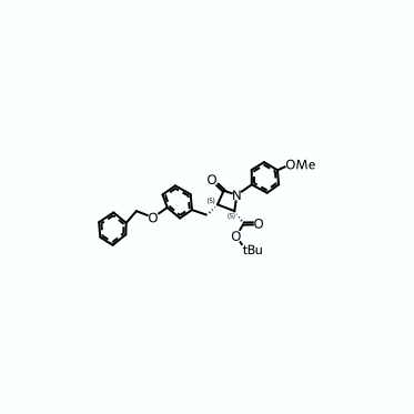 COc1ccc(N2C(=O)[C@@H](Cc3cccc(OCc4ccccc4)c3)[C@H]2C(=O)OC(C)(C)C)cc1